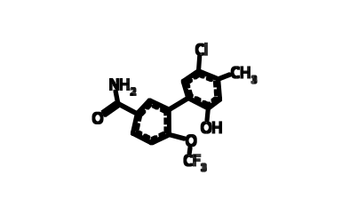 Cc1cc(O)c(-c2cc(C(N)=O)ccc2OC(F)(F)F)cc1Cl